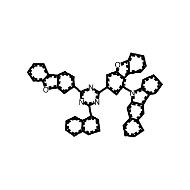 c1ccc2cc3c(cc2c1)c1ccccc1n3-c1cc(-c2nc(-c3ccc4c(c3)oc3ccccc34)nc(-c3cccc4ccccc34)n2)cc2oc3ccccc3c12